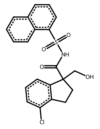 O=C(NS(=O)(=O)c1cccc2ccccc12)C1(CO)CCc2c(Cl)cccc21